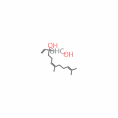 C=CC(C)(O)CCC=C(C)CCC=C(C)C.O=CO